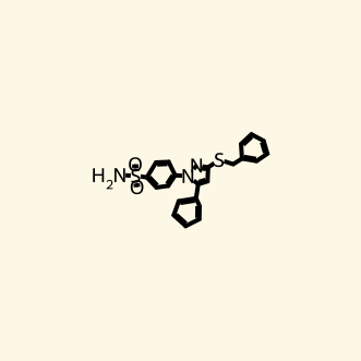 NS(=O)(=O)c1ccc(-n2nc(SCc3ccccc3)cc2-c2ccccc2)cc1